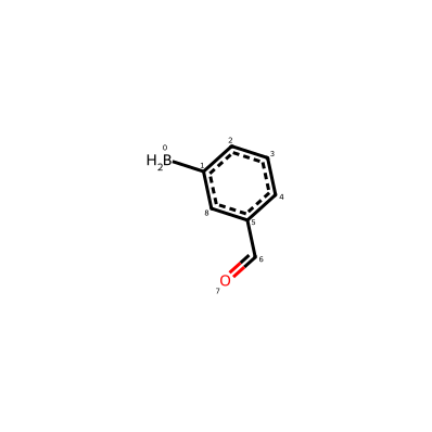 Bc1cccc(C=O)c1